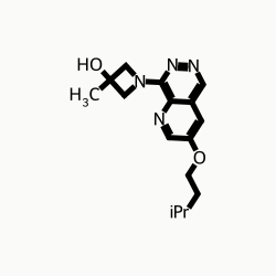 CC(C)CCOc1cnc2c(N3CC(C)(O)C3)nncc2c1